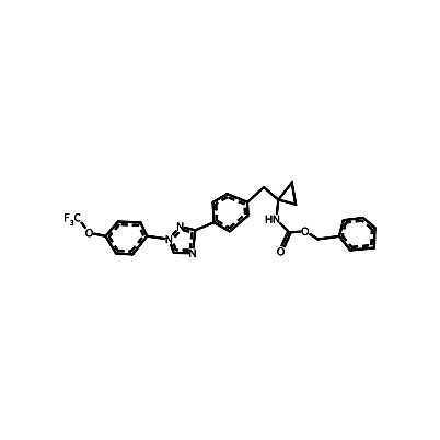 O=C(NC1(Cc2ccc(-c3ncn(-c4ccc(OC(F)(F)F)cc4)n3)cc2)CC1)OCc1ccccc1